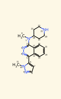 CN(c1nnc(-c2ccnn2C)c2ccccc12)C1CCNCC1